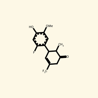 COc1cc(C2C=C(C(F)(F)F)CC(=O)C2C)c(F)cc1O